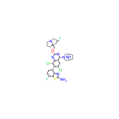 Nc1nc2c(-c3c(Cl)cc4c(N5CC6CCC(C5)N6)nc(OC[C@@]56CCCN5C[C@H](F)C6)nc4c3Cl)ccc(F)c2s1